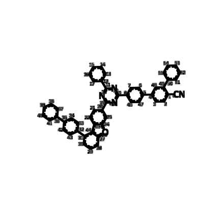 N#Cc1ccc(-c2ccc(-c3nc(-c4ccccc4)nc(-c4ccc5c(c4)oc4cccc(-c6ccc(-c7ccccc7)cc6)c45)n3)cc2)cc1-c1ccccc1